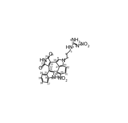 NC(=N[N+](=O)[O-])NCCCn1cc(C2=C(c3c[nH]c4ccccc34)C(=O)NC2=O)c2cc([N+](=O)[O-])ccc21